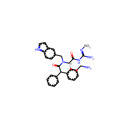 NCCC[C@@H](C(=O)NC(N)=N[N+](=O)[O-])N(Cc1ccc2[nH]ccc2c1)C(=O)C(c1ccccc1)c1ccccc1